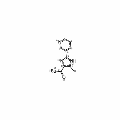 Cc1[nH]c(-c2cccnc2)nc1C(=O)C(C)(C)C